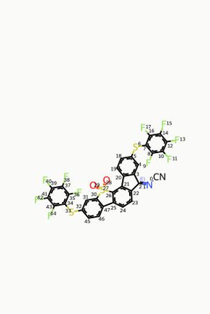 N#C/N=C1\c2cc(Sc3c(F)c(F)c(F)c(F)c3F)ccc2-c2c1ccc1c2S(=O)(=O)c2cc(Sc3c(F)c(F)c(F)c(F)c3F)ccc2-1